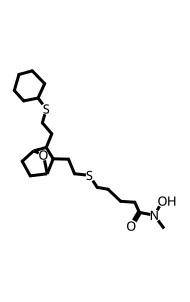 CN(O)C(=O)CCCCSCCC1C2CCC(O2)C1CCSC1CCCCC1